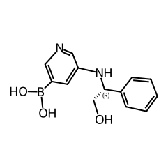 OC[C@H](Nc1cncc(B(O)O)c1)c1ccccc1